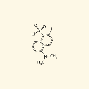 CN(C)c1cccc2c(S(=O)(=O)Cl)c(I)ccc12